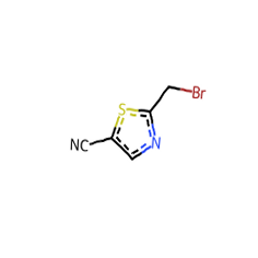 N#Cc1cnc(CBr)s1